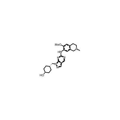 COc1cc2c(cc1Nc1ncc3cnn(C[C@H]4CC[C@H](O)CC4)c3n1)CN(C)CC2